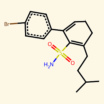 CC(C)CCC1=C(S(N)(=O)=O)C(c2ccc(Br)cc2)=C[CH]C1